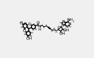 Cc1cc(C(=O)NCCCC#CCSC[C@H]2O[C@@H](n3cnc4c(N)ncnc43)[C@@H](O)C2O)ccc1-c1c2ccc(=O)cc-2oc2cc(O)ccc12